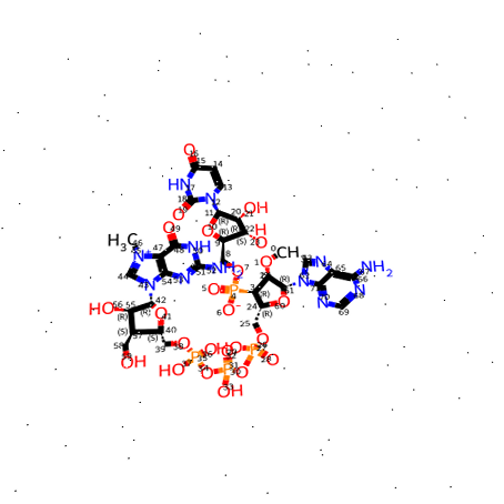 CO[C@@H]1[C@H](P(=O)([O-])OC[C@H]2O[C@@H](n3ccc(=O)[nH]c3=O)[C@H](O)[C@@H]2O)[C@@H](COP(=O)(O)OP(=O)(O)OP(=O)(O)OC[C@H]2O[C@@H](n3c[n+](C)c4c(=O)[nH]c(N)nc43)[C@H](O)[C@@H]2CO)O[C@H]1n1cnc2c(N)ncnc21